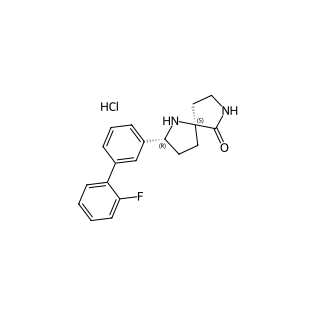 Cl.O=C1NCC[C@@]12CC[C@H](c1cccc(-c3ccccc3F)c1)N2